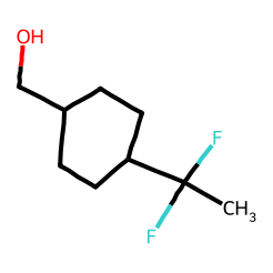 CC(F)(F)C1CCC(CO)CC1